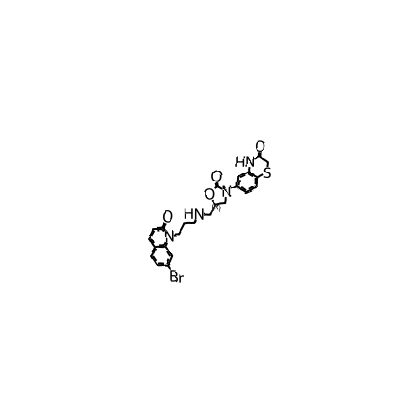 O=C1CSc2ccc(N3C[C@@H](CNCCCn4c(=O)ccc5ccc(Br)cc54)OC3=O)cc2N1